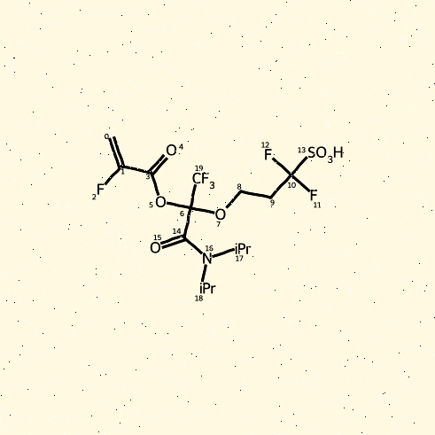 C=C(F)C(=O)OC(OCCC(F)(F)S(=O)(=O)O)(C(=O)N(C(C)C)C(C)C)C(F)(F)F